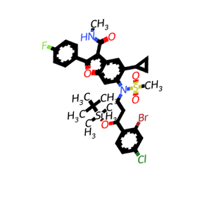 CNC(=O)c1c(-c2ccc(F)cc2)oc2cc(N(CCC(O[Si](C)(C)C(C)(C)C)c3ccc(Cl)cc3Br)S(C)(=O)=O)c(C3CC3)cc12